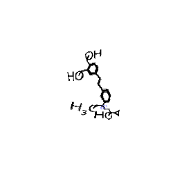 CC/C(=C/CC(O)C1CC1)c1cccc(CCc2ccc(CO)c(CO)c2)c1